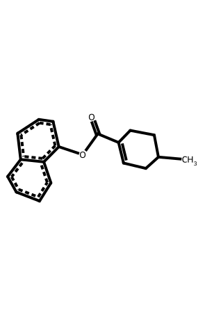 CC1CC=C(C(=O)Oc2cccc3ccccc23)CC1